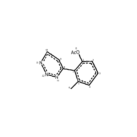 CC(=O)Oc1cccc(C)c1-c1ccnnn1